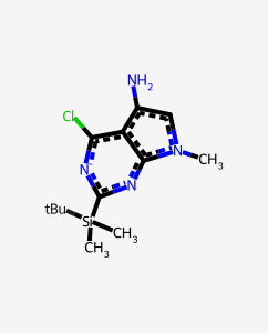 Cn1cc(N)c2c(Cl)nc([Si](C)(C)C(C)(C)C)nc21